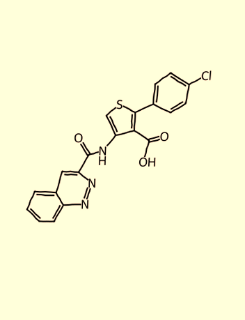 O=C(Nc1csc(-c2ccc(Cl)cc2)c1C(=O)O)c1cc2ccccc2nn1